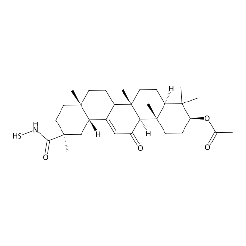 CC(=O)O[C@H]1CC[C@]2(C)[C@H]3C(=O)C=C4C(CC[C@@]5(C)CC[C@](C)(C(=O)NS)C[C@@H]45)[C@]3(C)CC[C@H]2C1(C)C